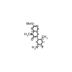 CSc1ncc2cc(-c3cc(N)c(F)cc3C)c(=O)n(C)c2n1